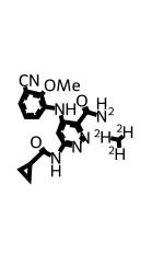 COc1c(C#N)cccc1Nc1cc(NC(=O)C2CC2)nnc1C(N)=O.[2H]C([2H])[2H]